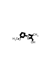 COc1cccc(-n2cc(C)c(CO)n2)c1